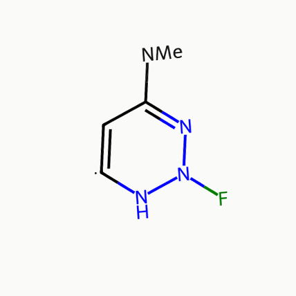 CNC1=NN(F)N[C]=C1